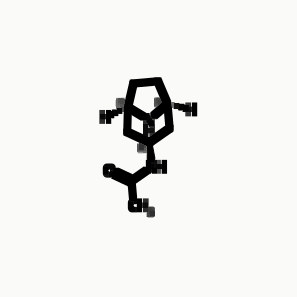 CC(=O)N[C@H]1C[C@H]2CC[C@@H](C1)N2